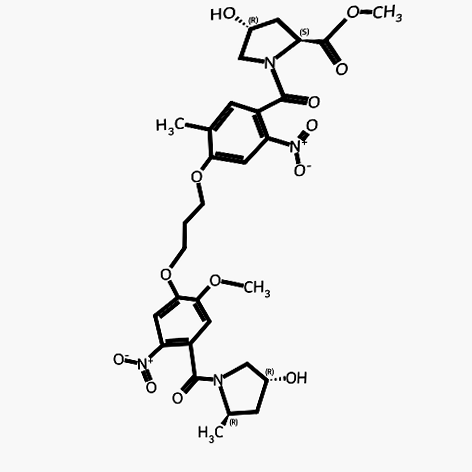 COC(=O)[C@@H]1C[C@@H](O)CN1C(=O)c1cc(C)c(OCCCOc2cc([N+](=O)[O-])c(C(=O)N3C[C@H](O)C[C@H]3C)cc2OC)cc1[N+](=O)[O-]